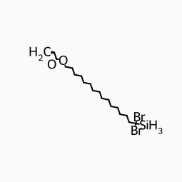 C=CC(=O)OCCCCCCCCCCCCCCCC([SiH3])(Br)Br